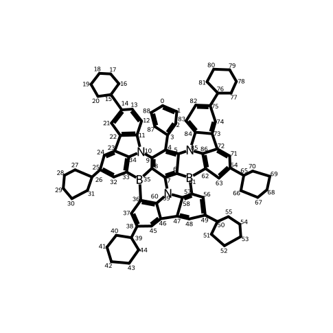 c1ccc(-c2c3c4c5c6c2-n2c7ccc(C8CCCCC8)cc7c7cc(C8CCCCC8)cc(c72)B6c2cc(C6CCCCC6)cc6c7cc(C8CCCCC8)cc(c7n-5c26)B4c2cc(C4CCCCC4)cc4c5cc(C6CCCCC6)ccc5n-3c24)cc1